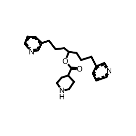 O=C(OC(CCCc1cccnc1)CCCc1cccnc1)C1CCNCC1